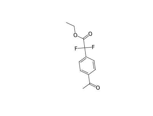 CCOC(=O)C(F)(F)c1ccc(C(C)=O)cc1